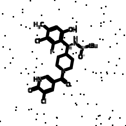 Cc1cc(O)c([C@H](N[S+]([O-])C(C)(C)C)C2CCN(C(=O)c3c[nH]c(=O)c(Cl)c3)CC2)c(F)c1Cl